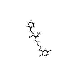 Cc1ccc(C)c(OCCCCC(=NO)C(=O)OCc2ccccc2)c1